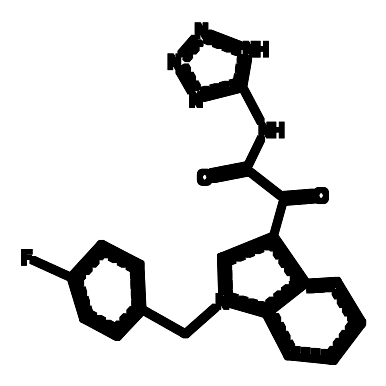 O=C(Nc1nnn[nH]1)C(=O)c1cn(Cc2ccc(F)cc2)c2ccccc12